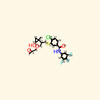 CC1(C(COCC2CO2)CSc2cc(C(=O)Nc3cc(F)c(F)c(F)c3)ccc2Cl)CC1O